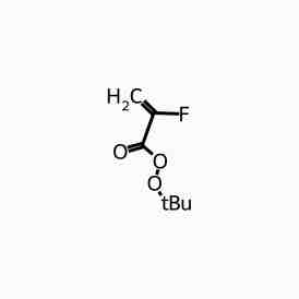 C=C(F)C(=O)OOC(C)(C)C